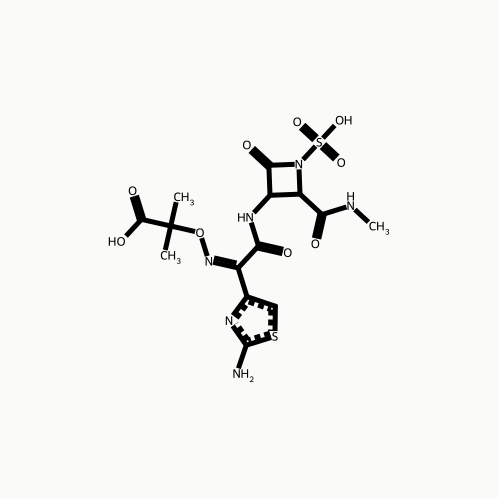 CNC(=O)C1C(NC(=O)C(=NOC(C)(C)C(=O)O)c2csc(N)n2)C(=O)N1S(=O)(=O)O